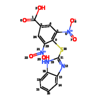 O=C(O)c1cc([N+](=O)[O-])c(Sc2nc3ccccc3[nH]2)c([N+](=O)O)c1